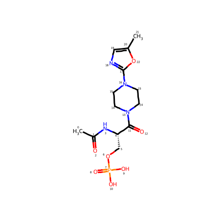 CC(=O)N[C@@H](COP(=O)(O)O)C(=O)N1CCN(c2ncc(C)o2)CC1